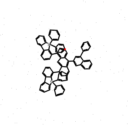 c1ccc(-c2cc(-c3c4cccc(-c5cccc6c5[Si](c5ccccc5)(c5ccccc5)c5ccccc5-6)c4cc4c(-c5cccc6c5[Si](c5ccccc5)(c5ccccc5)c5ccccc5-6)cccc34)cc3ccccc23)cc1